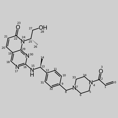 C=CC(=O)N1CCN(Cc2ccc([C@H](C)Nc3ncc4ccc(=O)n([C@@H](C)CO)c4n3)cc2)CC1